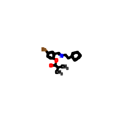 CC(C)C(=O)Oc1ccc(Br)cc1C=NCCc1ccccc1